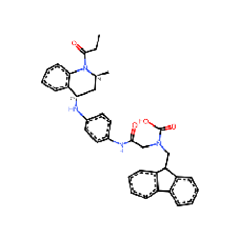 CCC(=O)N1c2ccccc2[C@H](Nc2ccc(NC(=O)CN(CC3c4ccccc4-c4ccccc43)C(=O)O)cc2)C[C@@H]1C